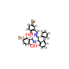 Oc1ccc(Br)cc1C=N[C@@H](c1ccccc1)[C@H](/N=C/c1cc(Br)ccc1O)c1ccccc1